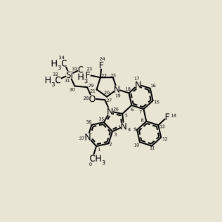 Cc1cc2nc(-c3c(-c4ccccc4F)ccnc3N3CCC(F)(F)C3)n(COCC[Si](C)(C)C)c2cn1